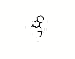 CC[C@](C)(CO)Nc1cc(N)nc2c1NCCC2